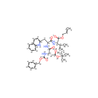 C=CCOC(=O)[C@@H](NC(=O)C(Cc1ccc2ccccc2n1)NC(=O)[C@H](CC(=O)OC(C)(C)C)NC(=O)OCc1ccccc1)C(C)C